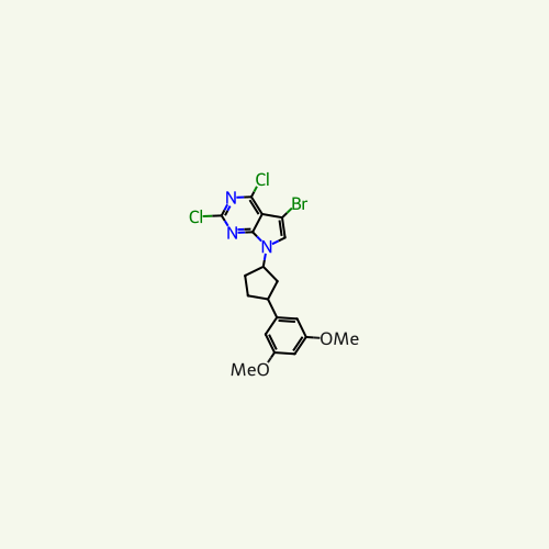 COc1cc(OC)cc(C2CCC(n3cc(Br)c4c(Cl)nc(Cl)nc43)C2)c1